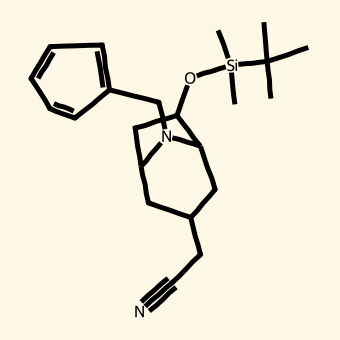 CC(C)(C)[Si](C)(C)OC1CC2CC(CC#N)CC1N2Cc1ccccc1